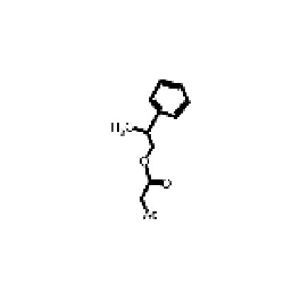 CC(=O)CC(=O)OCC(C)c1ccccc1